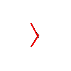 CCCCCCCCCCCCCCCCCCCCCCCCCCCCSc1c[c]cc(SCCCCCCCCCCCCCCCCCCCCCCCCCCCC)c1